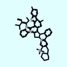 C=C/C(=C(\CC)n1c2ccccc2[n+]2c3c(c4cc(C)c5c6ccc(C)cc6sc5c4c12)C1c2ccccc2-c2cc(CC4CCCCC4)c([Si](C)(C)C)c[n+]2C1C3)C(C)C